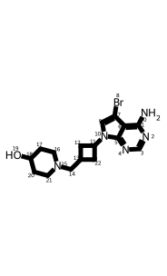 Nc1ncnc2c1c(Br)cn2C1CC(CN2CCC(O)CC2)C1